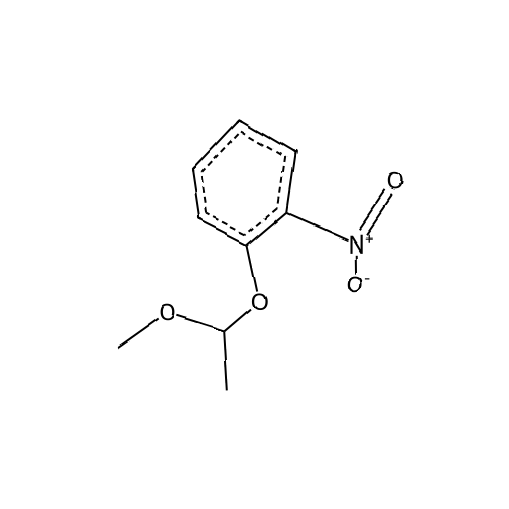 COC(C)Oc1ccccc1[N+](=O)[O-]